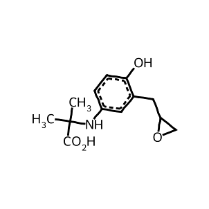 CC(C)(Nc1ccc(O)c(CC2CO2)c1)C(=O)O